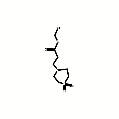 O=C(CCN1CCS(=O)(=O)CC1)OCO